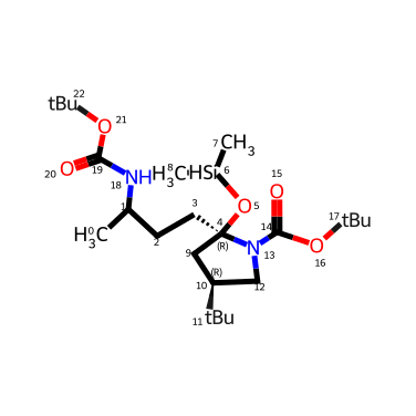 CC(CC[C@@]1(O[SiH](C)C)C[C@H](C(C)(C)C)CN1C(=O)OC(C)(C)C)NC(=O)OC(C)(C)C